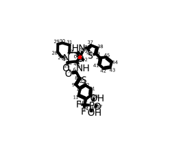 CC(C)(C)C(NC(=O)c1cc2cc(C(F)(F)P(=O)(O)O)ccc2s1)C(=O)N1CCCCC[C@H]1C(=O)Nc1ccc(-c2ccccc2)s1